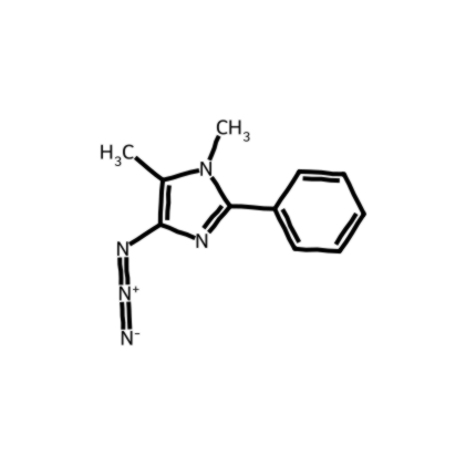 Cc1c(N=[N+]=[N-])nc(-c2ccccc2)n1C